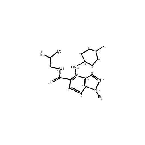 CCC(CC)CNC(=O)c1cnc2c(cnn2CC)c1NC1CCN(C)CC1